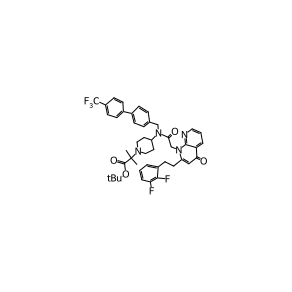 CC(C)(C)OC(=O)C(C)(C)N1CCC(N(Cc2ccc(-c3ccc(C(F)(F)F)cc3)cc2)C(=O)Cn2c(CCc3cccc(F)c3F)cc(=O)c3cccnc32)CC1